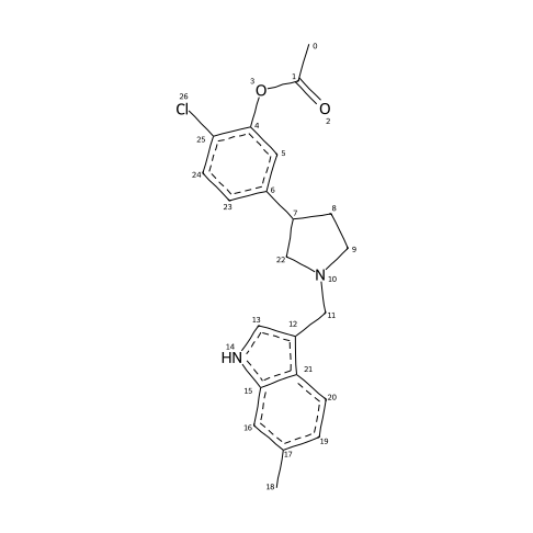 CC(=O)Oc1cc(C2CCN(Cc3c[nH]c4cc(C)ccc34)C2)ccc1Cl